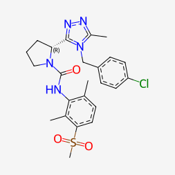 Cc1ccc(S(C)(=O)=O)c(C)c1NC(=O)N1CCC[C@@H]1c1nnc(C)n1Cc1ccc(Cl)cc1